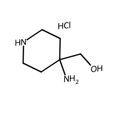 Cl.NC1(CO)CCNCC1